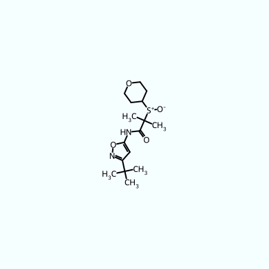 CC(C)(C)c1cc(NC(=O)C(C)(C)[S+]([O-])C2CCOCC2)on1